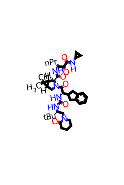 CCCC(NC(=O)[C@@H]1[C@@H]2[C@H](CN1C(=O)[C@@H](NC(=O)N[C@H](CN1CCCCC1=O)C(C)(C)C)C1Cc3ccccc3C1)C2(C)C)C(=O)C(=O)NC1CC1